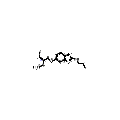 CCCNc1nc2ccc(OC/C(=C\F)CN)cc2s1